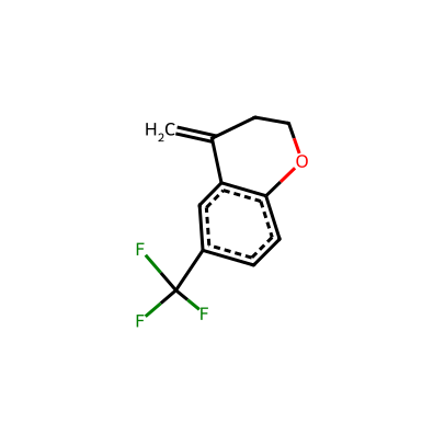 C=C1CCOc2ccc(C(F)(F)F)cc21